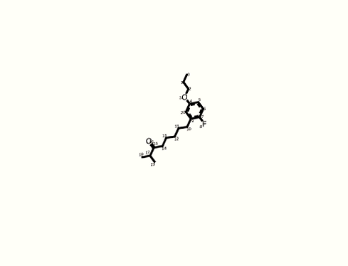 CCCOc1ccc(F)c(CCCCCC(=O)C(C)C)c1